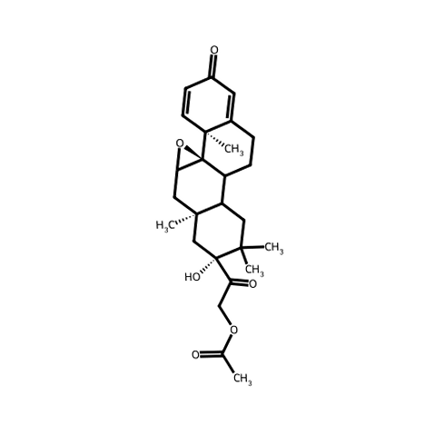 CC(=O)OCC(=O)[C@@]1(O)C[C@@]2(C)CC3O[C@@]34C(CCC3=CC(=O)C=C[C@@]34C)C2CC1(C)C